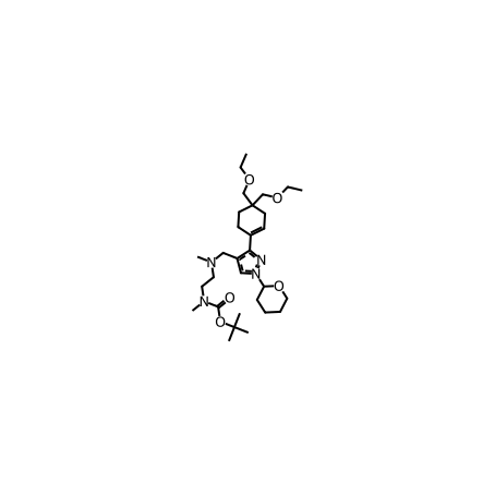 CCOCC1(COCC)CC=C(c2nn(C3CCCCO3)cc2CN(C)CCN(C)C(=O)OC(C)(C)C)CC1